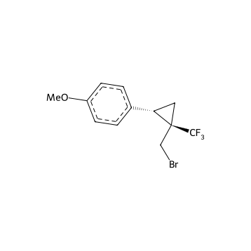 COc1ccc([C@@H]2C[C@@]2(CBr)C(F)(F)F)cc1